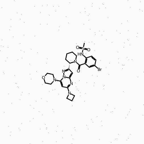 CS(=O)(=O)Nc1ccc(Br)cc1C(=O)N1CCCC[C@H]1c1cc2nc(N3CCC3)cc(N3CCOCC3)n2n1